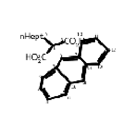 CCCCCCCC(C(=O)O)C(=O)O.c1ccc2cc3ccccc3cc2c1